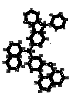 c1ccc(-n2c3ccccc3c3cc(N(c4ccc5c(c4)Oc4cccc6cccc-5c46)c4cccc5ccccc45)ccc32)cc1